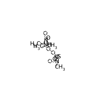 CC=CC(CN(CCC)C(=O)Cc1ccccc1)N/C(=C\C)c1ccc(-c2ccc(-c3csc(CN(CCC)C(=O)Cc4ccccc4)n3)cc2)cc1